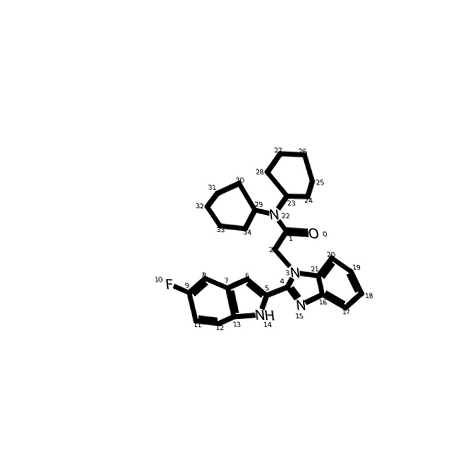 O=C(Cn1c(-c2cc3cc(F)ccc3[nH]2)nc2ccccc21)N(C1CCCCC1)C1CCCCC1